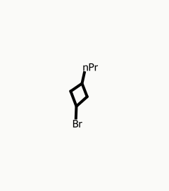 CCCC1CC(Br)C1